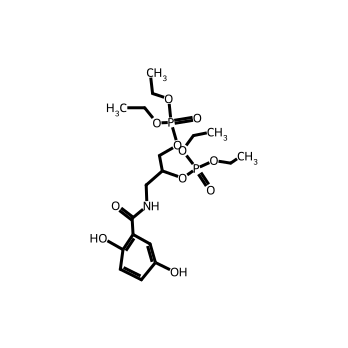 CCOP(=O)(OCC)OCC(CNC(=O)c1cc(O)ccc1O)OP(=O)(OCC)OCC